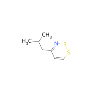 CC(C)CC1=NSSC=C1